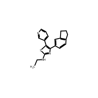 CCNc1nc(-c2ccc3c(c2)CCC3)c(-c2cccnc2)s1